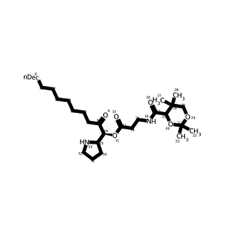 CCCCCCCCCCCCCCCCCC(=O)[C@@H](OC(=O)CCNC(=O)C1OC(C)(C)OCC1(C)C)C1CCCN1